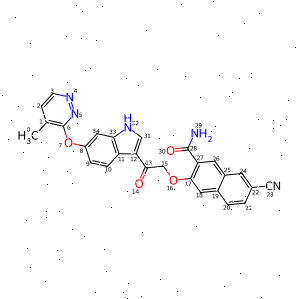 Cc1ccnnc1Oc1ccc2c(C(=O)COc3cc4ccc(C#N)cc4cc3C(N)=O)c[nH]c2c1